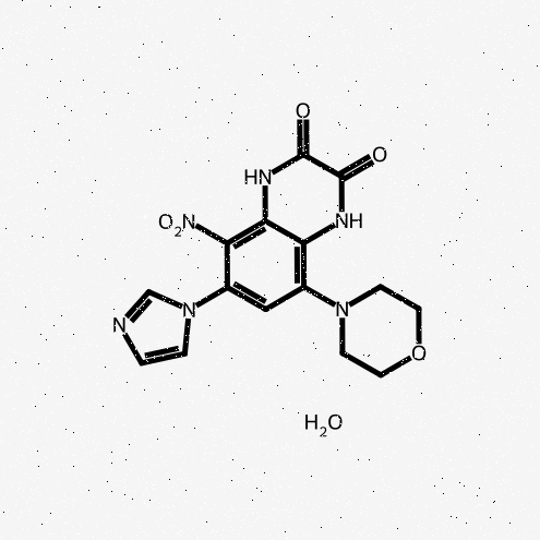 O.O=c1[nH]c2c(N3CCOCC3)cc(-n3ccnc3)c([N+](=O)[O-])c2[nH]c1=O